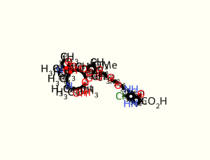 CC[C@H]1OC(=O)[C@H](C)[C@@H](O[C@H]2C[C@@](C)(OC)[C@@H](OC(=O)CCOCCOCCNc3cc4c(=O)c(C(=O)O)c[nH]c4cc3Cl)[C@H](C)O2)[C@H](C)[C@@H](O[C@@H]2O[C@H](C)C[C@H](N(C)C)[C@H]2O)[C@](C)(O)C[C@@H](C)CN(C)[C@H](C)[C@@H](O)[C@]1(C)O